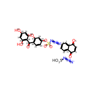 O=C1C=CC(=O)c2ccccc21.[N-]=[N+]=NS(=O)(=O)O.[N-]=[N+]=NS(=O)(=O)Oc1ccc(C(=O)c2ccc(O)cc2O)c(O)c1